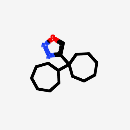 c1onnc1C1(C2CCCCCC2)CCCCCC1